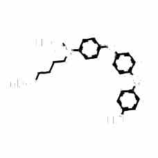 CCCCCCCCCCCCCCN(C(=O)O)c1ccc(Oc2ccc(Oc3ccc(O)cc3)cc2)cc1